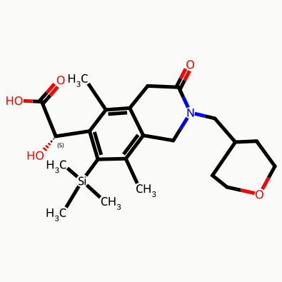 Cc1c2c(c(C)c([Si](C)(C)C)c1[C@H](O)C(=O)O)CN(CC1CCOCC1)C(=O)C2